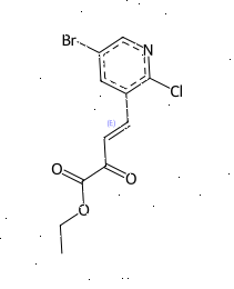 CCOC(=O)C(=O)/C=C/c1cc(Br)cnc1Cl